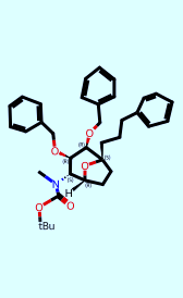 CN(C(=O)OC(C)(C)C)[C@@H]1[C@@H](OCc2ccccc2)[C@@H](OCc2ccccc2)[C@]2(CCCc3ccccc3)CC[C@H]1O2